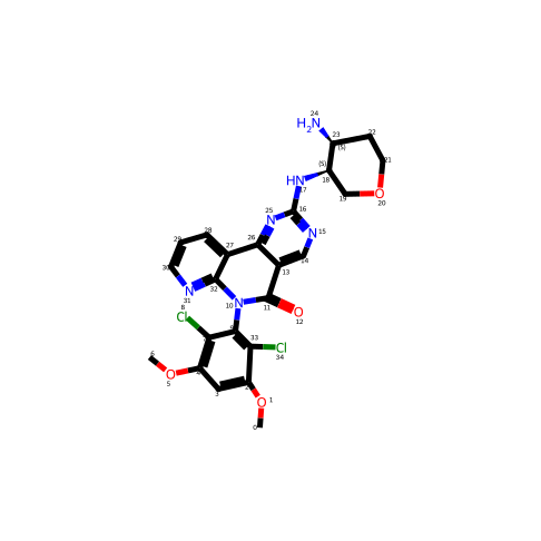 COc1cc(OC)c(Cl)c(-n2c(=O)c3cnc(N[C@@H]4COCC[C@@H]4N)nc3c3cccnc32)c1Cl